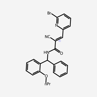 CCCOc1ccccc1C(NC(=O)/C(C#N)=C/c1cccc(Br)n1)c1ccccc1